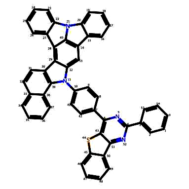 c1ccc(-c2nc(-c3ccc(-n4c5cc6c7ccccc7n7c8ccccc8c(c5c5ccc8ccccc8c54)c67)cc3)c3sc4ccccc4c3n2)cc1